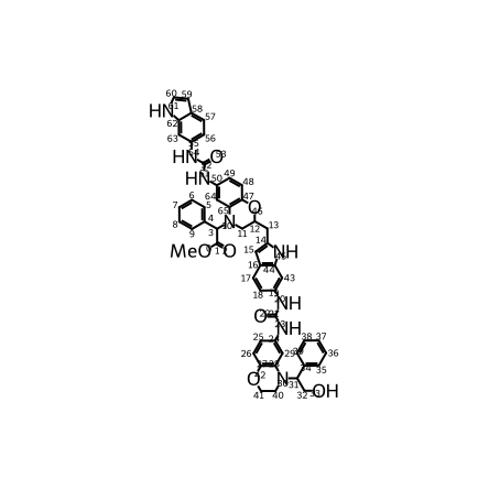 COC(=O)C(c1ccccc1)N1CC(Cc2cc3ccc(NC(=O)Nc4ccc5c(c4)N(C(CO)c4ccccc4)CCO5)cc3[nH]2)Oc2ccc(NC(=O)Nc3ccc4cc[nH]c4c3)cc21